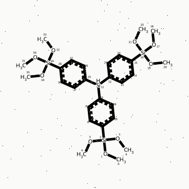 CO[Si](OC)(OC)c1ccc([SiH](c2ccc([Si](OC)(OC)OC)cc2)c2ccc([Si](OC)(OC)OC)cc2)cc1